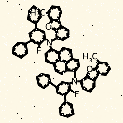 Cc1cccc2c1oc1c(N(c3cc(-c4ccccc4)cc(-c4ccccc4)c3F)c3ccc4ccc5c(N(c6cc(-c7ccccc7)cc(-c7ccccc7)c6F)c6cccc7c6oc6c(C)cccc67)ccc6ccc3c4c65)cccc12